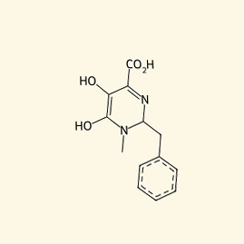 CN1C(O)=C(O)C(C(=O)O)=NC1Cc1ccccc1